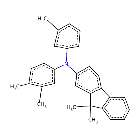 Cc1cccc(N(c2ccc(C)c(C)c2)c2ccc3c(c2)C(C)(C)c2ccccc2-3)c1